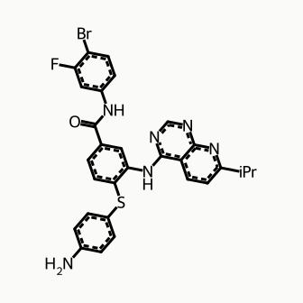 CC(C)c1ccc2c(Nc3cc(C(=O)Nc4ccc(Br)c(F)c4)ccc3Sc3ccc(N)cc3)ncnc2n1